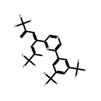 C=C(/C=C(\C=C(/C)C(F)(F)F)c1cncc(-c2cc(C(F)(F)F)cc(C(F)(F)F)c2)n1)C(F)(F)F